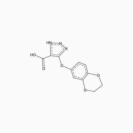 O=C(O)c1[nH]nnc1Oc1ccc2c(c1)OCCO2